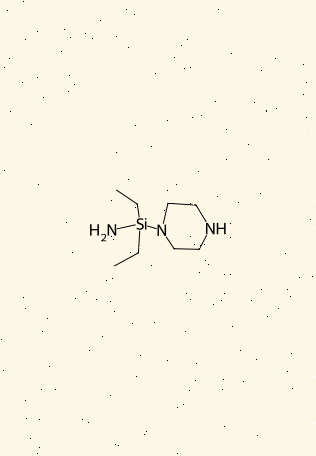 CC[Si](N)(CC)N1CCNCC1